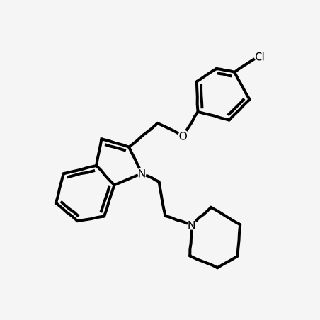 Clc1ccc(OCc2cc3ccccc3n2CCN2CCCCC2)cc1